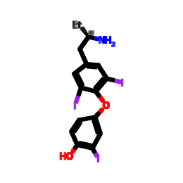 CC[C@@H](N)Cc1cc(I)c(Oc2ccc(O)c(I)c2)c(I)c1